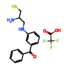 NC(CS)CNc1cccc(C(=O)c2ccccc2)c1.O=C(O)C(F)(F)F